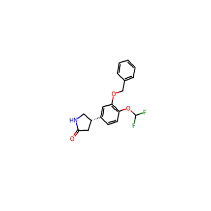 O=C1C[C@@H](c2ccc(OC(F)F)c(OCc3ccccc3)c2)CN1